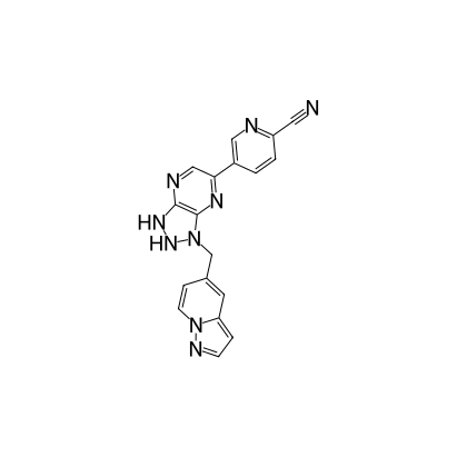 N#Cc1ccc(-c2cnc3c(n2)N(Cc2ccn4nccc4c2)NN3)cn1